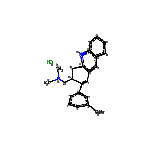 COc1cccc(C2=Cc3cc4ccccc4nc3CC2CN(C)C)c1.Cl